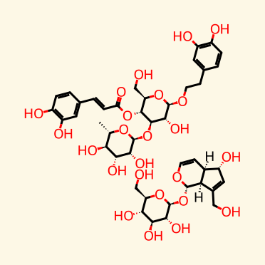 C[C@@H]1O[C@@H](O[C@@H]2[C@@H](O)[C@H](OCCc3ccc(O)c(O)c3)O[C@H](CO)[C@H]2OC(=O)/C=C/c2ccc(O)c(O)c2)[C@H](O)[C@H](O)[C@H]1O.OCC1=C[C@@H](O)[C@@H]2C=CO[C@@H](O[C@@H]3O[C@H](CO)[C@@H](O)[C@H](O)[C@H]3O)[C@H]12